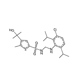 Cc1sc(S(=O)(=O)NCNc2c(C(C)C)ccc(Cl)c2C(C)C)cc1C(C)(C)O